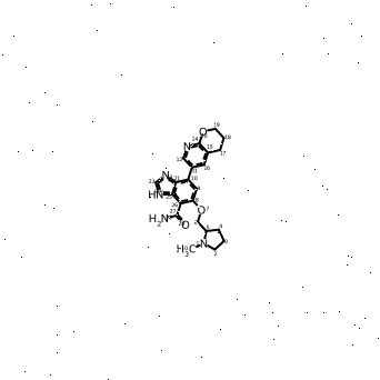 CN1CCCC1COc1cc(-c2cnc3c(c2)CCCO3)c2nc[nH]c2c1C(N)=O